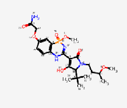 COC(C)CCN1C(=O)C(C2=NP(=O)(OC)c3cc(OCC(N)=O)ccc3N2)=C(O)C1C(C)(C)C